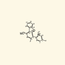 Cc1ccc(-c2c(C)cc(C#N)c3c2oc2ccccc23)[n+](C)c1